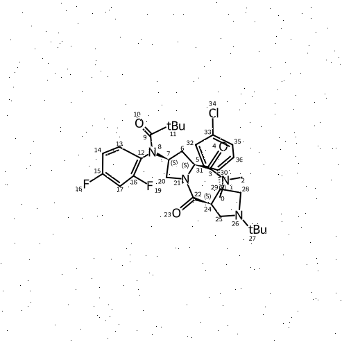 CN(C)C(=O)[C@@H]1C[C@H](N(C(=O)C(C)(C)C)c2ccc(F)cc2F)CN1C(=O)[C@@H]1CN(C(C)(C)C)C[C@H]1c1ccc(Cl)cc1